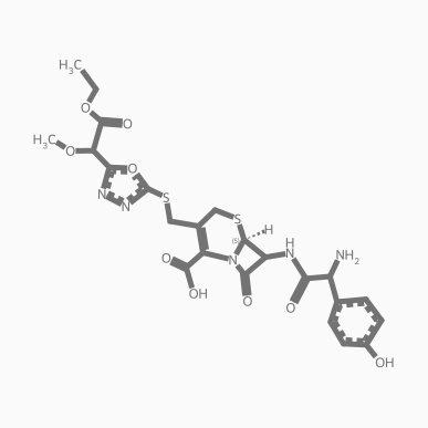 CCOC(=O)C(OC)c1nnc(SCC2=C(C(=O)O)N3C(=O)C(NC(=O)C(N)c4ccc(O)cc4)[C@@H]3SC2)o1